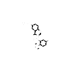 CCS(=O)(=O)c1ccc(Cl)cc1Nn1cnc2ccc(OC)cc2c1=O